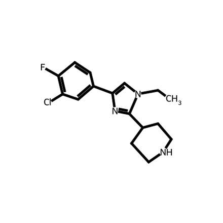 CCn1cc(-c2ccc(F)c(Cl)c2)nc1C1CCNCC1